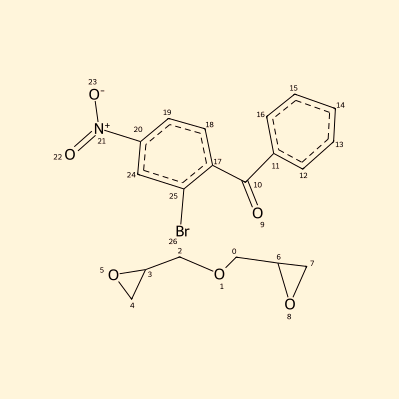 C(OCC1CO1)C1CO1.O=C(c1ccccc1)c1ccc([N+](=O)[O-])cc1Br